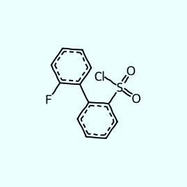 O=S(=O)(Cl)c1ccccc1-c1ccccc1F